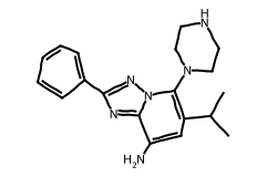 CC(C)c1cc(N)c2nc(-c3ccccc3)nn2c1N1CCNCC1